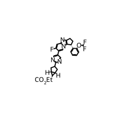 CCOC(=O)[C@H]1[C@@H]2CC(c3ncc(-c4cn5c6c(nc5cc4F)CC[C@@H]6c4ccccc4OC(F)F)cn3)C[C@@H]21